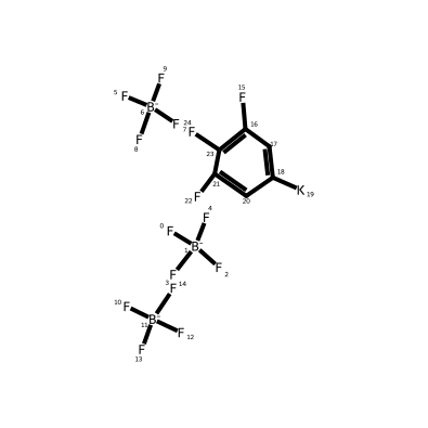 F[B-](F)(F)F.F[B-](F)(F)F.F[B-](F)(F)F.Fc1c[c]([K])cc(F)c1F